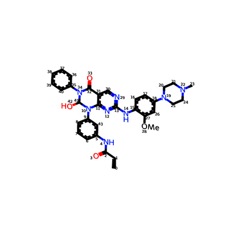 C=CC(=O)Nc1cccc(N2c3nc(Nc4ccc(N5CCN(C)CC5)cc4OC)ncc3C(=O)N(c3ccccc3)C2O)c1